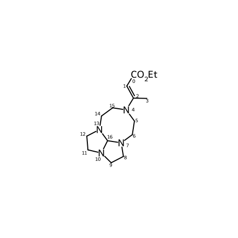 CCOC(=O)C=C(C)N1CCN2CCN3CCN(CC1)C23